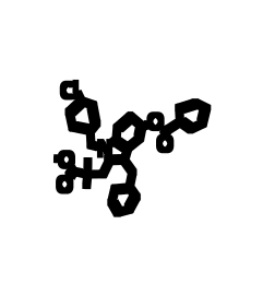 COC(=O)C(C)(C)Cc1c(Cc2ccccc2)c2cc(OC(=O)c3ccccc3)ccc2n1Cc1ccc(Cl)cc1